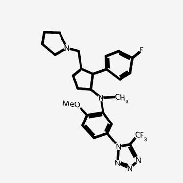 COc1ccc(-n2nnnc2C(F)(F)F)cc1N(C)C1CCC(CN2CCCC2)C1c1ccc(F)cc1